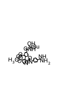 CC(C)(C)[C@@H](CO)NC(=O)c1ccc(-c2cccnc2C(=O)Nc2ccc(C(=N)N)cc2)c(C(=O)OS(C)(=O)=O)c1